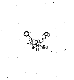 CCCCC(NC(=O)C(NC(=O)OCc1ccccc1)C(C)C)C(=O)CSCc1ccco1